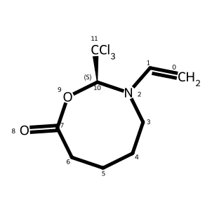 C=CN1CCCCC(=O)O[C@H]1C(Cl)(Cl)Cl